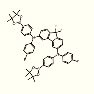 CC1(C)OB(c2ccc(N(c3ccc(F)cc3)c3ccc4c(c3)-c3cc(N(c5ccc(F)cc5)c5ccc(B6OC(C)(C)C(C)(C)O6)cc5)ccc3C4(F)F)cc2)OC1(C)C